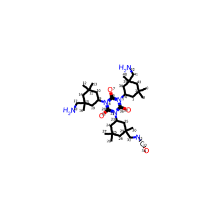 CC1(C)CC(n2c(=O)n(C3CC(C)(C)CC(C)(CN)C3)c(=O)n(C3CC(C)(C)CC(C)(CN=C=O)C3)c2=O)CC(C)(CN)C1